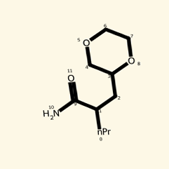 CCCC(CC1COCCO1)C(N)=O